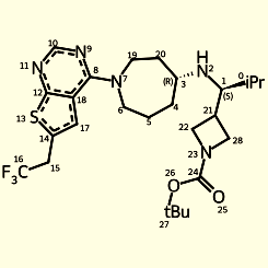 CC(C)[C@H](N[C@@H]1CCCN(c2ncnc3sc(CC(F)(F)F)cc23)CC1)C1CN(C(=O)OC(C)(C)C)C1